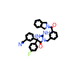 N#Cc1cccc(C2(c3ccc(F)cc3)NC(=N)N(Cc3cccc(C(=O)N4Cc5ccccc5C4)c3)C2=O)c1